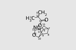 C=C(C)C(=O)OC1C2CC3C1OCC3(C#N)C2